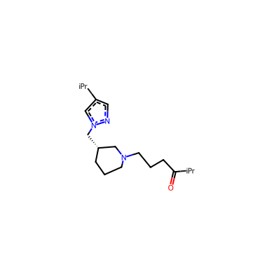 CC(C)C(=O)CCCN1CCC[C@H](Cn2cc(C(C)C)cn2)C1